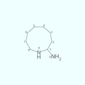 NC1CCCCCCCN1